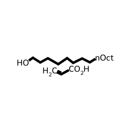 C=CC(=O)O.CCCCCCCCCCCCCCCCO